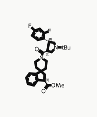 COC(=O)[C@@H]1CC2(CCN(C(=O)[C@@H]3CN(C(C)(C)C)C[C@H]3c3ccc(F)cc3F)CC2)c2ccccc21